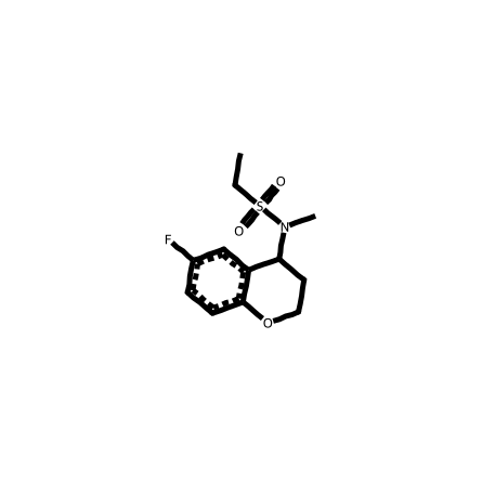 CCS(=O)(=O)N(C)C1CCOc2ccc(F)cc21